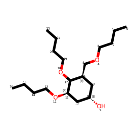 CCCCOC[C@H]1C[C@H](O)C[C@@H](OCCCC)C1OCCCC